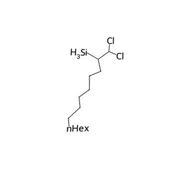 CCCCCCCCCCCCC([SiH3])C(Cl)Cl